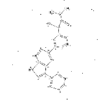 CN(C)C(=O)C(O)c1cncc(-c2cnc3[nH]cc(-c4cncnc4)c3c2)c1